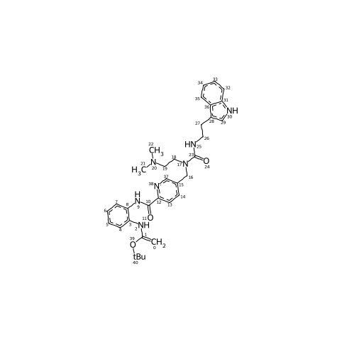 C=C(Nc1ccccc1NC(=O)c1ccc(CN(CCN(C)C)C(=O)NCCc2c[nH]c3ccccc23)cn1)OC(C)(C)C